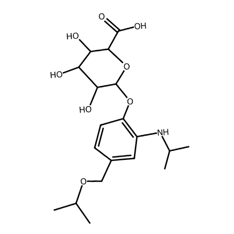 CC(C)Nc1cc(COC(C)C)ccc1OC1OC(C(=O)O)C(O)C(O)C1O